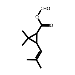 CC(C)=CC1C(C(=O)OC=O)C1(C)C